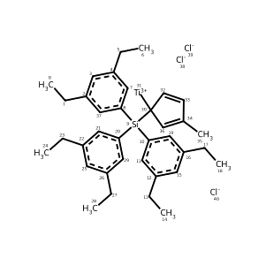 CCc1cc(CC)cc([Si](c2cc(CC)cc(CC)c2)(c2cc(CC)cc(CC)c2)[C]2([Ti+3])C=CC(C)=C2)c1.[Cl-].[Cl-].[Cl-]